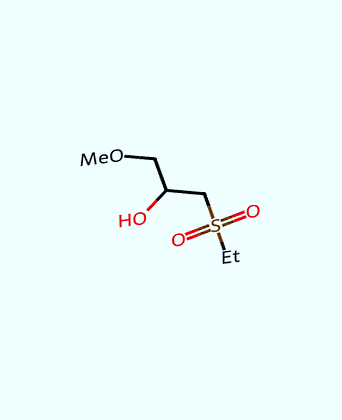 CCS(=O)(=O)CC(O)COC